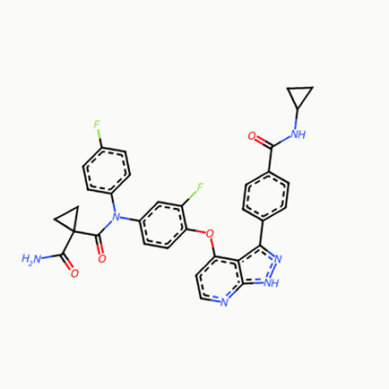 NC(=O)C1(C(=O)N(c2ccc(F)cc2)c2ccc(Oc3ccnc4[nH]nc(-c5ccc(C(=O)NC6CC6)cc5)c34)c(F)c2)CC1